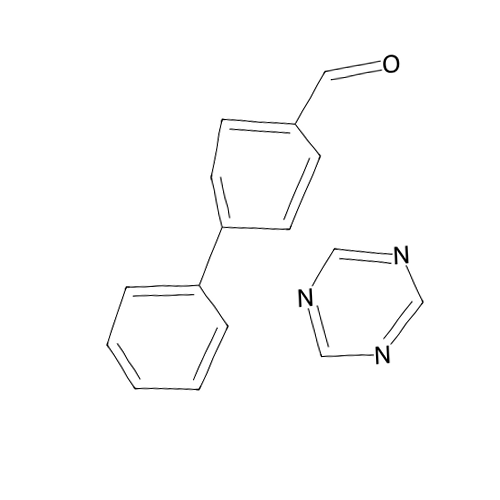 O=Cc1ccc(-c2ccccc2)cc1.c1ncncn1